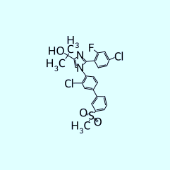 CC(C)(O)c1cn(-c2ccc(-c3cccc(S(C)(=O)=O)c3)cc2Cl)c(-c2ccc(Cl)cc2F)n1